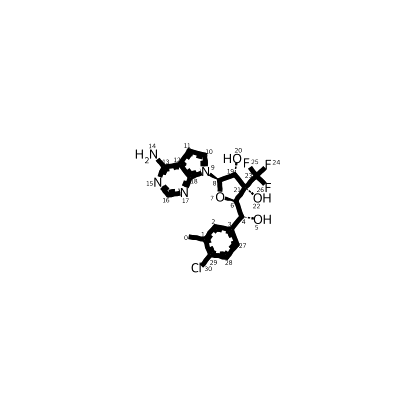 Cc1cc([C@@H](O)[C@H]2O[C@@H](n3ccc4c(N)ncnc43)[C@H](O)[C@@]2(O)C(F)(F)F)ccc1Cl